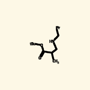 CC(C)CNCC(C)C(=O)OC(C)(C)C